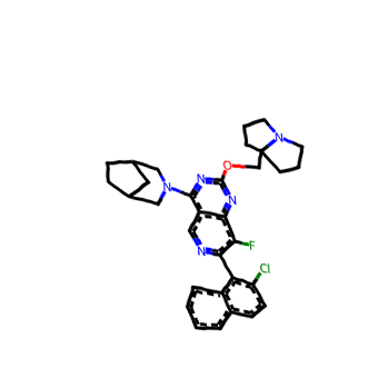 Fc1c(-c2c(Cl)ccc3ccccc23)ncc2c(N3CC4CCC(C4)C3)nc(OCC34CCCN3CCC4)nc12